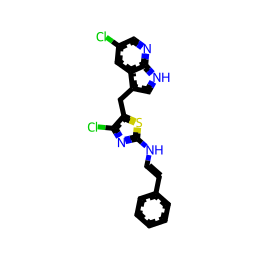 Clc1cnc2[nH]cc(Cc3sc(NC=Cc4ccccc4)nc3Cl)c2c1